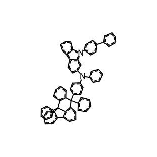 c1ccc(-c2ccc(-n3c4ccccc4c4ccc(N(c5ccccc5)c5ccc(C6(c7ccccc7)c7ccccc7C7(c8ccccc8)c8ccccc8-c8cccc6c87)cc5)cc43)cc2)cc1